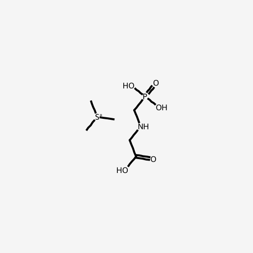 C[S+](C)C.O=C(O)CNCP(=O)(O)O